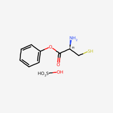 N[C@@H](CS)C(=O)Oc1ccccc1.O=S(=O)(O)O